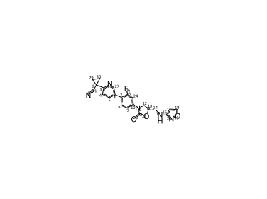 N#CC1(c2ccc(-c3ccc(N4C[C@H](CNc5ccon5)OC4=O)cc3F)cn2)CC1